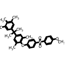 COc1ccc(S(=O)(=O)c2ccc(Oc3c(C)cc(C(C)(C)c4cc(C)c(C)c(C)c4)cc3C)cc2)cc1